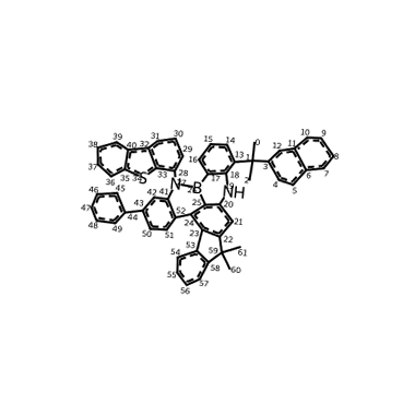 CC(C)(c1ccc2ccccc2c1)c1cccc2c1Nc1cc3c(c4c1B2N(c1cccc2c1sc1ccccc12)c1cc(-c2ccccc2)ccc1-4)-c1ccccc1C3(C)C